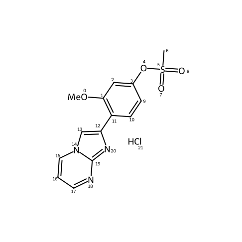 COc1cc(OS(C)(=O)=O)ccc1-c1cn2cccnc2n1.Cl